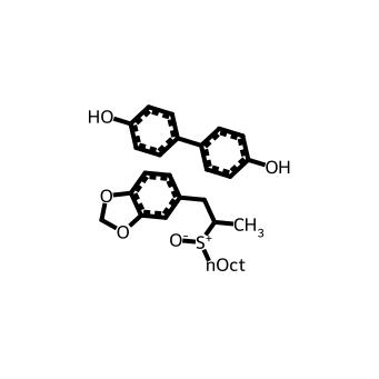 CCCCCCCC[S+]([O-])C(C)Cc1ccc2c(c1)OCO2.Oc1ccc(-c2ccc(O)cc2)cc1